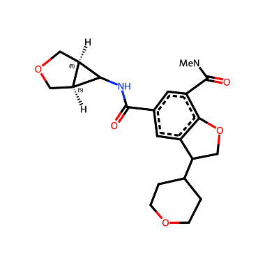 CNC(=O)c1cc(C(=O)NC2[C@H]3COC[C@@H]23)cc2c1OCC2C1CCOCC1